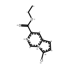 CCOC(=O)c1cc2ccc(Cl)n2cn1